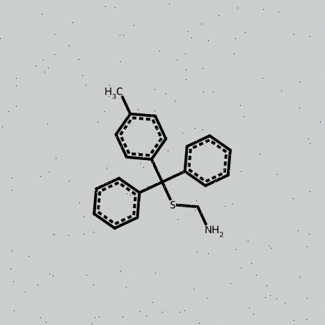 Cc1ccc(C(SCN)(c2ccccc2)c2ccccc2)cc1